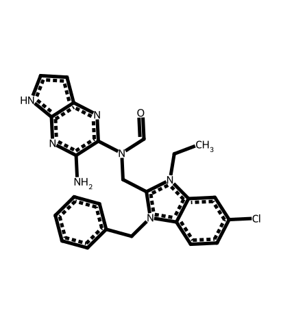 CCn1c(CN(C=O)c2nc3cc[nH]c3nc2N)[n+](Cc2ccccc2)c2ccc(Cl)cc21